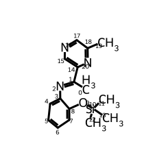 CC(=Nc1ccccc1O[Si](C)(C)C)c1cncc(C)n1